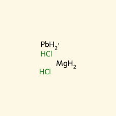 Cl.Cl.[MgH2].[PbH2]